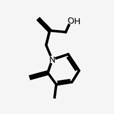 C=C(CO)CN1C=CC=C(C)C1=C